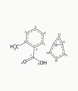 Cc1ccccc1C(=O)O.c1cc2cc-2c1